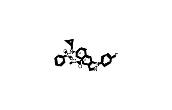 COC(=O)[C@]12Cc3cnn(-c4ccc(F)cc4)c3C=C1CC[C@H](N(C1CC1)S(=O)(=O)c1ccccc1)C2